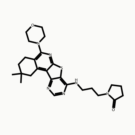 CC1(C)CCc2c(N3CCOCC3)nc3sc4c(NCCCN5CCCC5=O)ncnc4c3c2C1